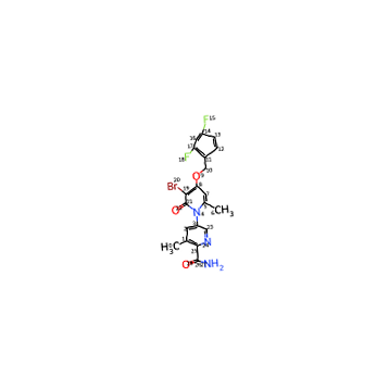 Cc1cc(-n2c(C)cc(OCc3ccc(F)cc3F)c(Br)c2=O)cnc1C(N)=O